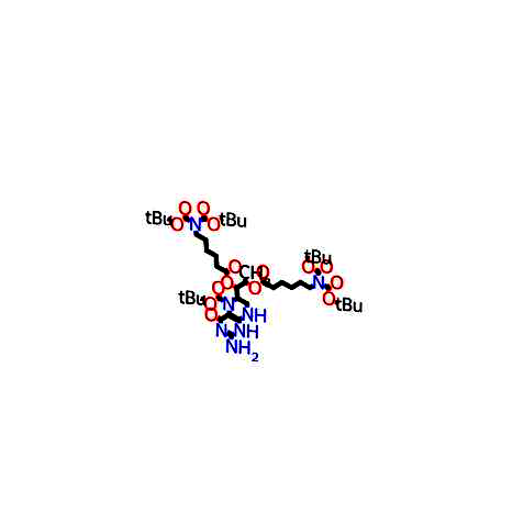 CC(OC(=O)CCCCCN(C(=O)OC(C)(C)C)C(=O)OC(C)(C)C)C(OC(=O)CCCCCN(C(=O)OC(C)(C)C)C(=O)OC(C)(C)C)C1CNc2[nH]c(N)nc(=O)c2N1C(=O)OC(C)(C)C